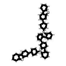 c1ccc2c(c1)oc1cc(-c3ccc(-n4c5ccccc5c5ccc(-c6cccc7c6c6ccccc6n7-c6ccc(-c7ccc8c(c7)oc7ccccc78)cc6)cc54)cc3)ccc12